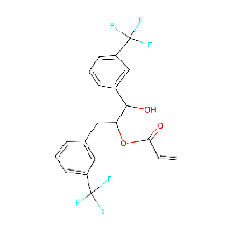 C=CC(=O)OC(Cc1cccc(C(F)(F)F)c1)C(O)c1cccc(C(F)(F)F)c1